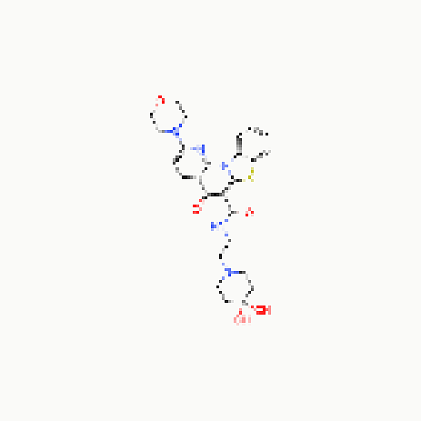 O=C(NCCN1CCC(O)(O)CC1)c1c(=O)c2ccc(N3CCOCC3)nc2n2c1sc1ccccc12